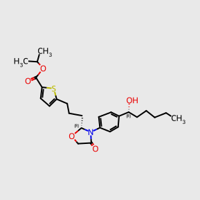 CCCCC[C@@H](O)c1ccc(N2C(=O)CO[C@@H]2CCCc2ccc(C(=O)OC(C)C)s2)cc1